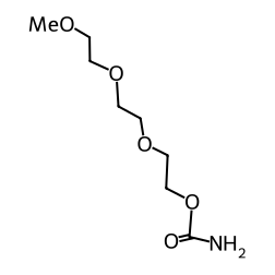 COCCOCCOCCOC(N)=O